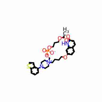 CC(=O)OCCCOP(=O)([O-])OC[N+]1(CCCCOc2ccc3ccc(=O)[nH]c3c2)CCN(c2cccc3sccc23)CC1